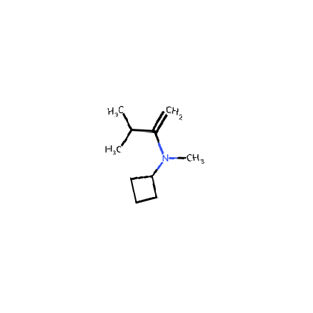 C=C(C(C)C)N(C)C1CCC1